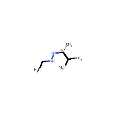 CCNN[C@H](C)C(C)C